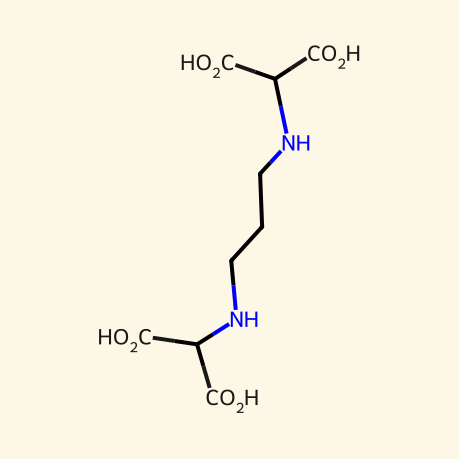 O=C(O)C(NCCCNC(C(=O)O)C(=O)O)C(=O)O